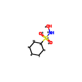 O=S(=O)(NO)C1CCCCC1